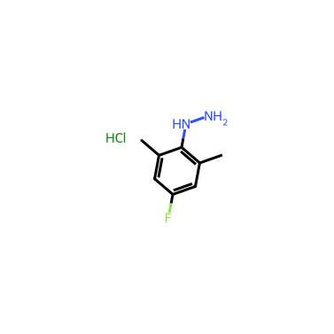 Cc1cc(F)cc(C)c1NN.Cl